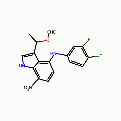 CC(OC=O)c1c[nH]c2c([N+](=O)[O-])ccc(Nc3ccc(F)c(F)c3)c12